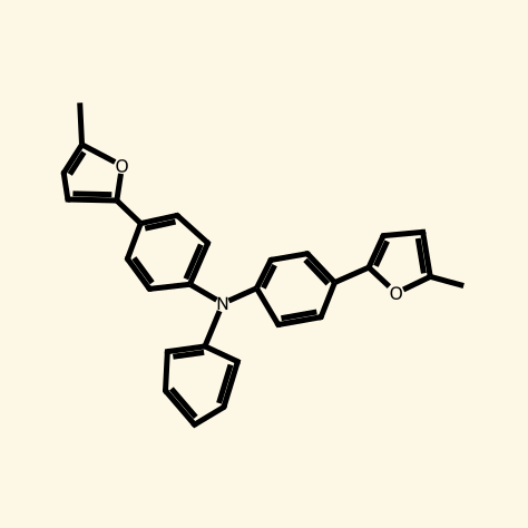 Cc1ccc(-c2ccc(N(c3ccccc3)c3ccc(-c4ccc(C)o4)cc3)cc2)o1